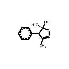 CC1=NO[C@](C)(O)[C@@H]1c1ccccc1